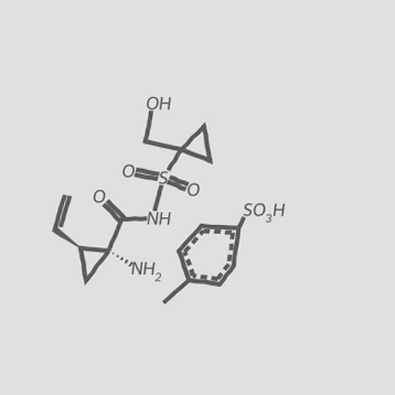 C=C[C@@H]1C[C@]1(N)C(=O)NS(=O)(=O)C1(CO)CC1.Cc1ccc(S(=O)(=O)O)cc1